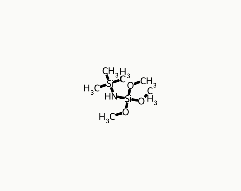 CO[Si](N[Si](C)(C)C)(OC)OC